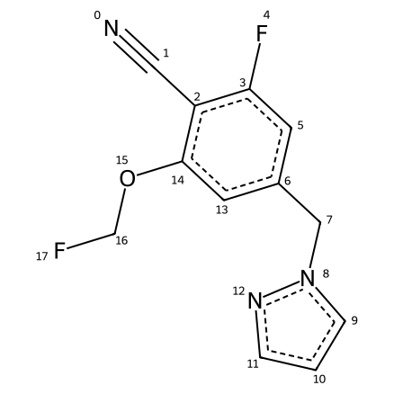 N#Cc1c(F)cc(Cn2cccn2)cc1OCF